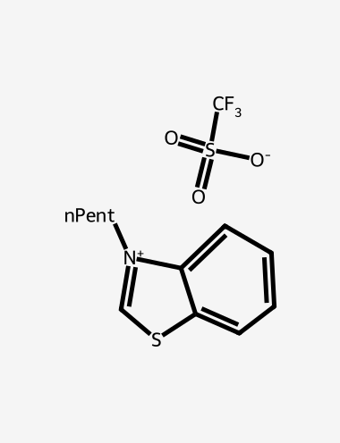 CCCCC[n+]1csc2ccccc21.O=S(=O)([O-])C(F)(F)F